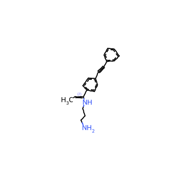 C/C=C(\NCCCN)c1ccc(C#Cc2ccccc2)cc1